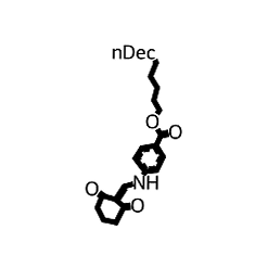 CCCCCCCCCCCCCCCOC(=O)c1ccc(NC=C2C(=O)CCCC2=O)cc1